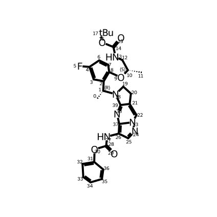 C[C@H](c1cc(F)ccc1O[C@@H](C)CNC(=O)OC(C)(C)C)N1CCc2cn3ncc(NC(=O)Oc4ccccc4)c3nc21